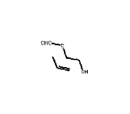 C=CC.O=COCCO